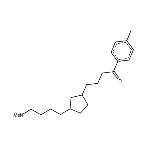 CNCCCCC1CCC(CCCC(=O)c2ccc(C)cc2)C1